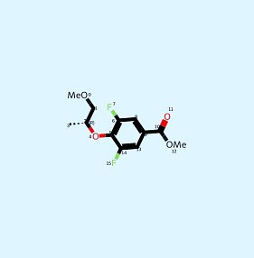 COC[C@@H](C)Oc1c(F)cc(C(=O)OC)cc1F